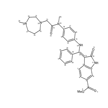 COC(=O)c1ccc2c(c1)NC(=O)/C2=C(\Nc1ccc(N(C)C(=O)CN2CCCN(C)CC2)cc1)c1ccccc1